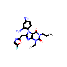 CCCn1c(=O)c2c(nc(Cc3ncc(F)o3)n2-c2ccc(N)cc2N)n(CC)c1=O